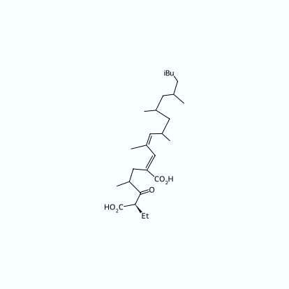 CCC(C)CC(C)CC(C)CC(C)C=C(C)C=C(CC(C)C(=O)[C@@H](CC)C(=O)O)C(=O)O